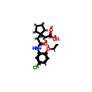 CCOc1ccc(Cl)cc1NC(=O)CC1(CC(=O)O)CCCC1